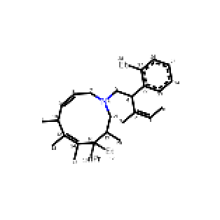 C/C=C(/C)C(CN1C/C=C\C(C)/C(C)=C(/C)C(CC)(CCC)C(C)C1)c1ccccc1CC